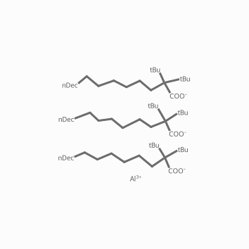 CCCCCCCCCCCCCCCCC(C(=O)[O-])(C(C)(C)C)C(C)(C)C.CCCCCCCCCCCCCCCCC(C(=O)[O-])(C(C)(C)C)C(C)(C)C.CCCCCCCCCCCCCCCCC(C(=O)[O-])(C(C)(C)C)C(C)(C)C.[Al+3]